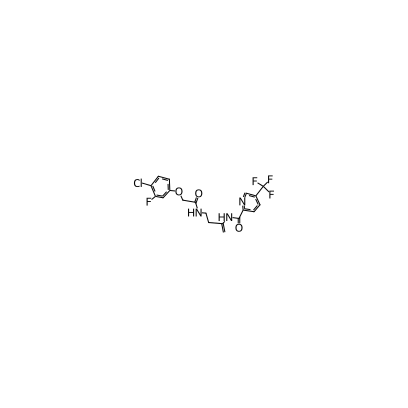 C=C(CCNC(=O)COc1ccc(Cl)c(F)c1)NC(=O)c1ccc(C(F)(F)F)cn1